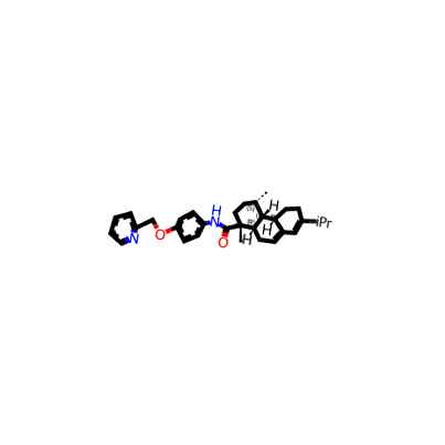 CC(C)C1=CC2=CC[C@@H]3[C@H]([C@@H](C)CC[C@@]3(C)C(=O)Nc3ccc(OCc4ccccn4)cc3)[C@H]2CC1